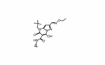 CCON=Cc1cc2n(CC(C)(C)C)c(=O)c(C(=O)NC3CC3)c(O)n2n1